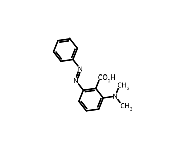 CN(C)c1cccc(N=Nc2ccccc2)c1C(=O)O